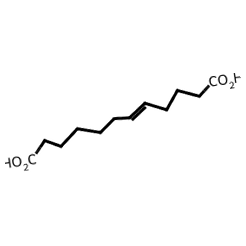 O=C(O)CCCC=CCCCCCC(=O)O